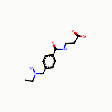 CCN(N)Cc1ccc(C(=O)NCCC(=O)O)cc1